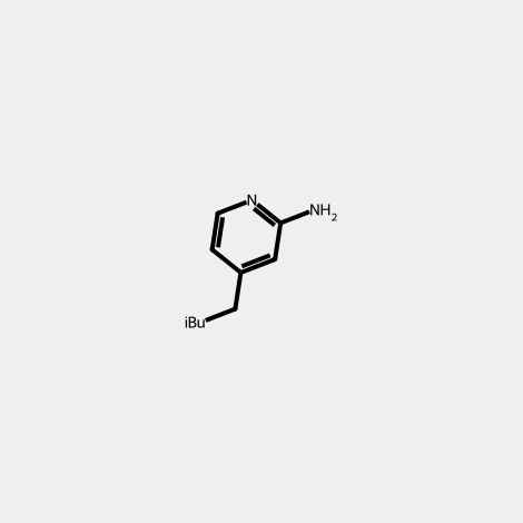 CCC(C)Cc1ccnc(N)c1